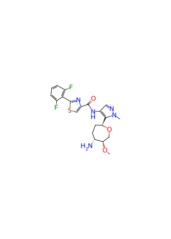 CO[C@@H]1CO[C@H](c2c(NC(=O)c3csc(-c4c(F)cccc4F)n3)cnn2C)CC[C@H]1N